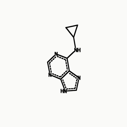 c1nc(NC2CC2)c2nc[nH]c2n1